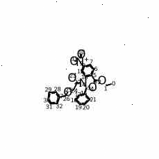 CCOC(=O)c1ccc([N+](=O)[O-])cc1N(Cc1ccccc1)C(=O)COCc1ccccc1